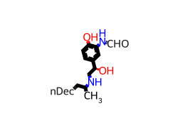 CCCCCCCCCCCC(C)NC[C@H](O)c1ccc(O)c(NC=O)c1